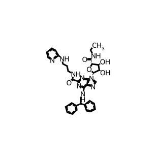 CCNC(=O)[C@H]1O[C@@H](n2cnc3c(NCC(c4ccccc4)c4ccccc4)nc(C(=O)NCCCNc4ccccn4)nc32)[C@H](O)[C@@H]1O